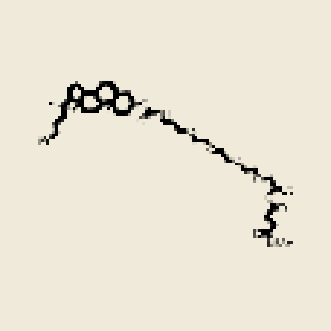 CCC(COCCOCCOCCOCCCNC(=O)O[C@H]1CC[C@@]2(C)C(=CCC3C4CCC([C@@H](C)CCCC(C)C)[C@@]4(C)CCC32)C1)OC(=O)CCC(=O)NC